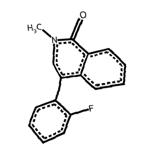 Cn1cc(-c2ccccc2F)c2ccccc2c1=O